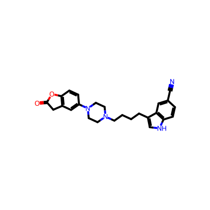 N#Cc1ccc2[nH]cc(CCCCN3CCN(c4ccc5c(c4)CC(=O)O5)CC3)c2c1